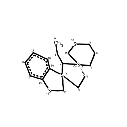 CCC1S2(CC[S@]13CCCSC3)CSc1ccccc12